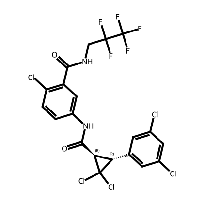 O=C(NCC(F)(F)C(F)(F)F)c1cc(NC(=O)[C@H]2[C@H](c3cc(Cl)cc(Cl)c3)C2(Cl)Cl)ccc1Cl